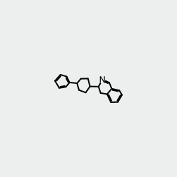 C1=NC(C2CCC(c3ccccc3)CC2)Cc2ccccc21